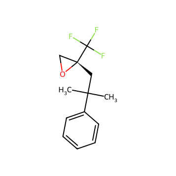 CC(C)(C[C@]1(C(F)(F)F)CO1)c1ccccc1